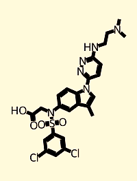 Cc1cn(-c2ccc(NCCN(C)C)nn2)c2ccc(N(CC(=O)O)S(=O)(=O)c3cc(Cl)cc(Cl)c3)cc12